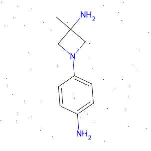 CC1(N)CN(c2ccc(N)cc2)C1